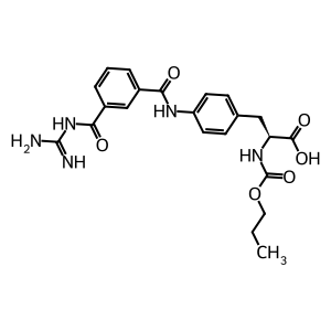 CCCOC(=O)N[C@@H](Cc1ccc(NC(=O)c2cccc(C(=O)NC(=N)N)c2)cc1)C(=O)O